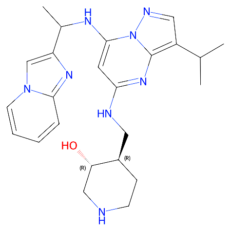 CC(C)c1cnn2c(NC(C)c3cn4ccccc4n3)cc(NC[C@H]3CCNC[C@@H]3O)nc12